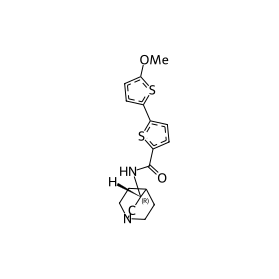 COc1ccc(-c2ccc(C(=O)N[C@H]3CN4CCC3CC4)s2)s1